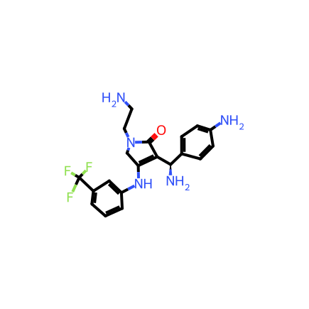 NCCN1CC(Nc2cccc(C(F)(F)F)c2)=C([C@H](N)c2ccc(N)cc2)C1=O